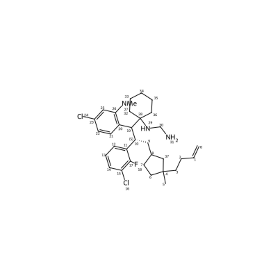 C=CCCC1(C)CCC(C[C@H](c2cccc(Cl)c2F)C(c2ccc(Cl)cc2NC)C2(NCN)CCCCC2)C1